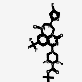 C[C@@H]1CN(c2nc(=O)n3c4c(cc(C(F)(F)F)cc24)[SH](Cl)C[C@@H](c2cc(F)cs2)C3)C[C@H](C)N1C(=O)OC(C)(C)C